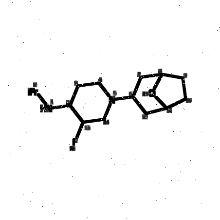 CC(C)NC1CCN(C2CC3CCC(C2)O3)CC1F